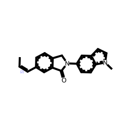 C/C=C\c1ccc2c(c1)C(=O)N(c1ccc3c(ccn3C)c1)C2